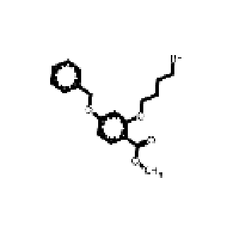 COC(=O)c1ccc(OCc2ccccc2)cc1OCCCCBr